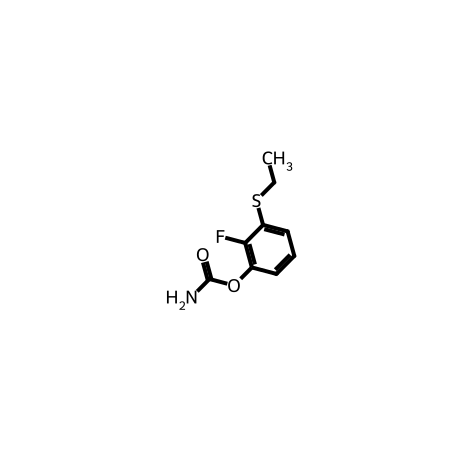 CCSc1cccc(OC(N)=O)c1F